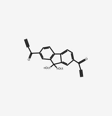 C#CC(=O)c1ccc2c(c1)C(CCCCCCCC)(CCCCCCCC)c1cc(C(=O)C#C)ccc1-2